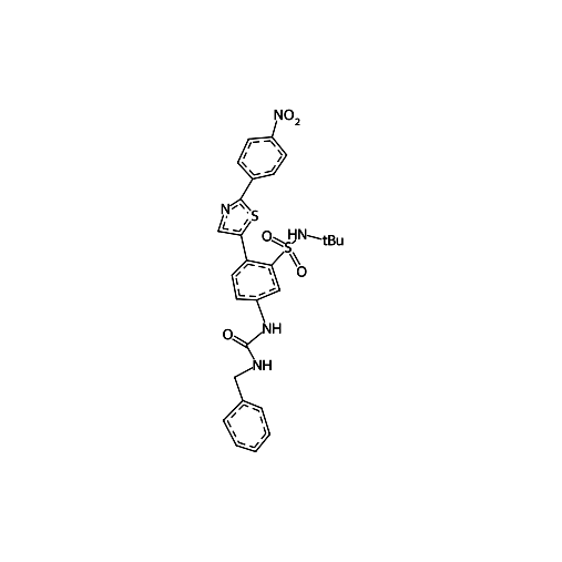 CC(C)(C)NS(=O)(=O)c1cc(NC(=O)NCc2ccccc2)ccc1-c1cnc(-c2ccc([N+](=O)[O-])cc2)s1